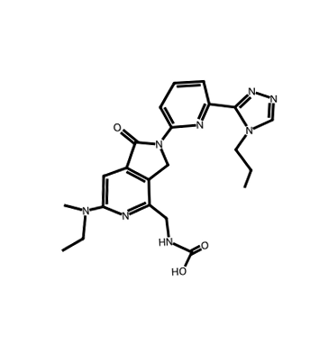 CCCn1cnnc1-c1cccc(N2Cc3c(cc(N(C)CC)nc3CNC(=O)O)C2=O)n1